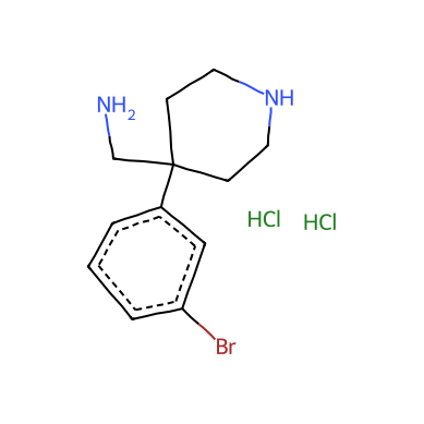 Cl.Cl.NCC1(c2cccc(Br)c2)CCNCC1